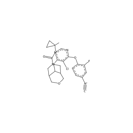 [C-]#[N+]c1ccc(Oc2ncnc(OC3C4COCC3CN(C(=O)OC3(C)CC3)C4)c2Cl)c(F)c1